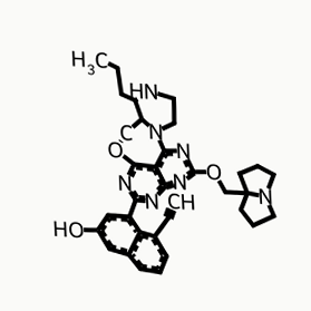 C#Cc1cccc2cc(O)cc(-c3nc4c5c(nc(OCC67CCCN6CCC7)nc5n3)N3CCNC(CCC)C3CO4)c12